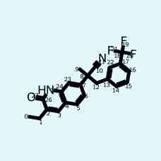 CCc1cc2ccc(C(C)(C#N)Cc3cccc(C(F)(F)F)c3)cc2[nH]c1=O